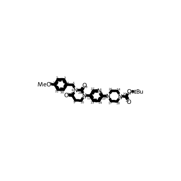 COc1ccc(CN2C(=O)CCN(c3ccc(N4CCN(C(=O)OC(C)(C)C)CC4)nc3)C2=O)cc1